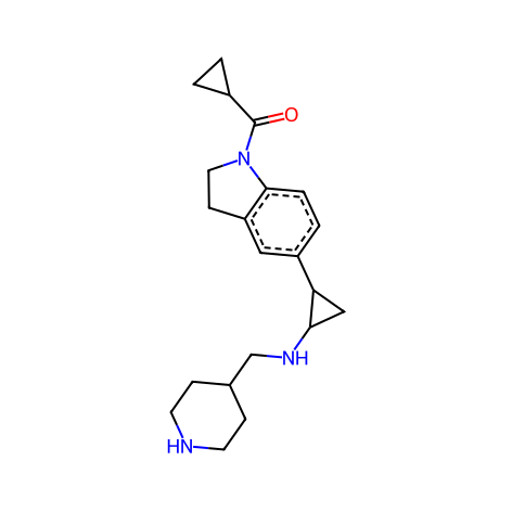 O=C(C1CC1)N1CCc2cc(C3CC3NCC3CCNCC3)ccc21